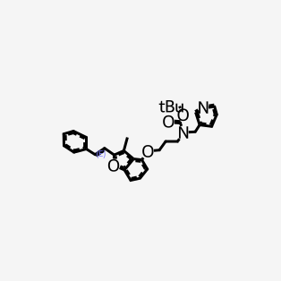 Cc1c(/C=C/c2ccccc2)oc2cccc(OCCCN(Cc3cccnc3)C(=O)OC(C)(C)C)c12